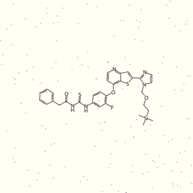 C[Si](C)(C)CCOCn1ccnc1-c1cc2nccc(Oc3ccc(NC(=S)NC(=O)Cc4ccccc4)cc3F)c2s1